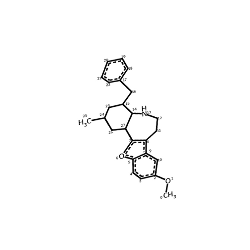 COc1ccc2oc3c(c2c1)CCNC1C(Cc2ccccc2)CC(C)CC31